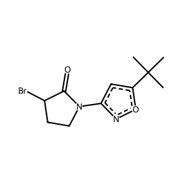 CC(C)(C)c1cc(N2CCC(Br)C2=O)no1